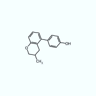 CC1COc2cccc(-c3ccc(O)cc3)c2C1